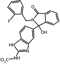 O=C(O)Nc1nc2cc(C3(O)c4ccccc4C(=O)N3Cc3ccccc3F)ccc2[nH]1